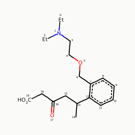 CCN(CC)CCOCc1ccccc1C(C)CC(=O)CC(=O)O